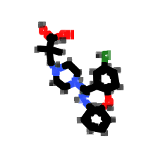 CC(C)(CN1CCN(C2=Nc3ccccc3Oc3ccc(Cl)cc32)CC1)C(=O)O